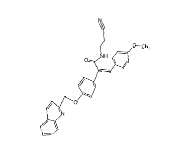 COc1ccc(C=C(C(=O)NCCC#N)c2ccc(OCc3ccc4ccccc4n3)cc2)cc1